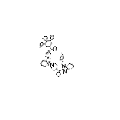 CCOCCn1c(C(=O)C2CCN(CCC3(c4ccccn4)CCN(C(=O)c4cc(OC)c(OC)c(OC)c4)C3)CC2)nc2ccccc21